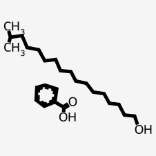 CC(C)CCCCCCCCCCCCCCCO.O=C(O)c1ccccc1